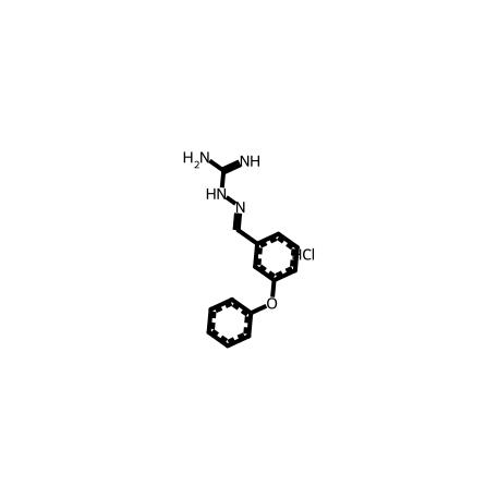 Cl.N=C(N)N/N=C/c1cccc(Oc2ccccc2)c1